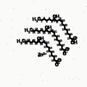 CCCCCC[C@@H](O)C/C=C\CCCCCCCC(=O)O.CCCCCC[C@@H](O)C/C=C\CCCCCCCC(=O)[O-].CCCCCC[C@@H](O)C/C=C\CCCCCCCC(=O)[O-].[Zn+2]